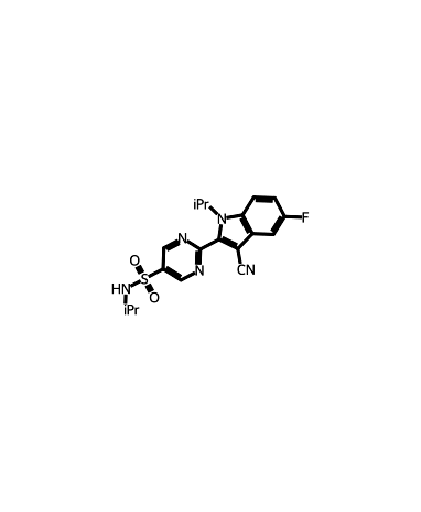 CC(C)NS(=O)(=O)c1cnc(-c2c(C#N)c3cc(F)ccc3n2C(C)C)nc1